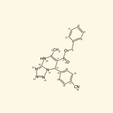 CC1=C(C(=O)OCc2ccccc2)C(c2ccc(C#N)cc2)n2nnnc2N1